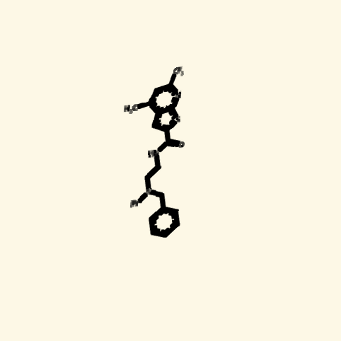 Cc1cc(C(F)(F)F)nc2sc(C(=O)NCCN(Cc3ccccc3)C(C)C)cc12